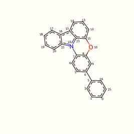 c1ccc(-c2ccc3c(c2)Oc2cccc4c5ccccc5n-3c24)cc1